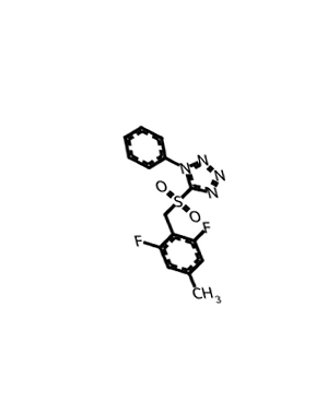 Cc1cc(F)c(CS(=O)(=O)c2nnnn2-c2ccccc2)c(F)c1